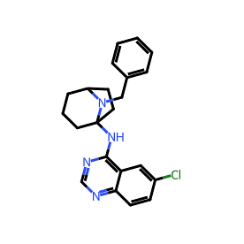 Clc1ccc2ncnc(NC34CCCC(CC3)N4Cc3ccccc3)c2c1